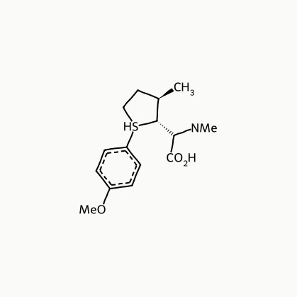 CNC(C(=O)O)[C@H]1[C@H](C)CC[SH]1c1ccc(OC)cc1